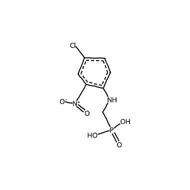 O=[N+]([O-])c1cc(Cl)ccc1NCP(=O)(O)O